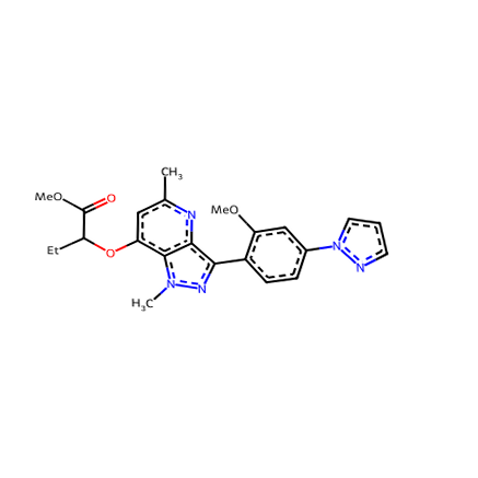 CCC(Oc1cc(C)nc2c(-c3ccc(-n4cccn4)cc3OC)nn(C)c12)C(=O)OC